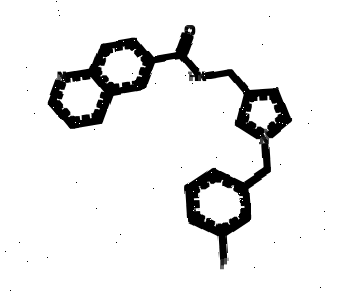 O=C(NCc1ccn(Cc2cccc(F)c2)c1)c1ccc2ncccc2c1